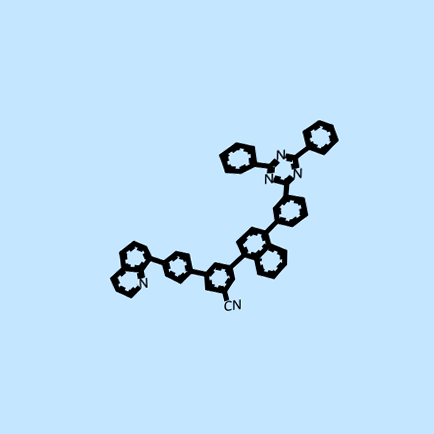 N#Cc1cc(-c2ccc(-c3cccc4cccnc34)cc2)cc(-c2ccc(-c3cccc(-c4nc(-c5ccccc5)nc(-c5ccccc5)n4)c3)c3ccccc23)c1